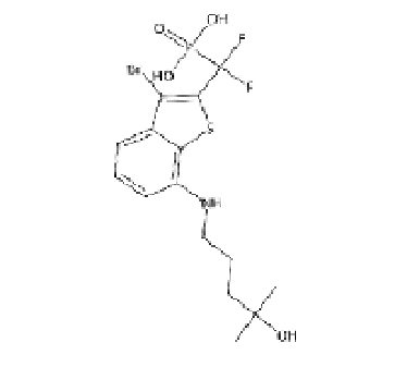 CC(C)(O)CCCNc1cccc2c(Br)c(C(F)(F)P(=O)(O)O)sc12